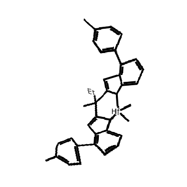 CCC1(C)C2=Cc3c(-c4ccc(C)cc4)cccc3[CH]2[Hf]([CH3])([CH3])[CH]2C1=Cc1c(-c3ccc(C)cc3)cccc12